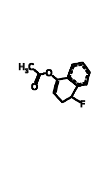 CC(=O)OC1=CCC(F)c2ccccc21